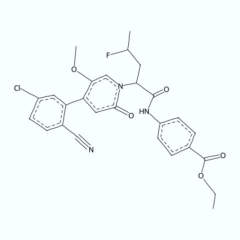 CCOC(=O)c1ccc(NC(=O)C(CC(C)F)n2cc(OC)c(-c3cc(Cl)ccc3C#N)cc2=O)cc1